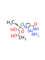 CC#CC1(Cl)[C@@H](O)[C@@H]([C@@H](C)O)O[C@H]1n1ccc2c(=O)[nH]c(N)nc21